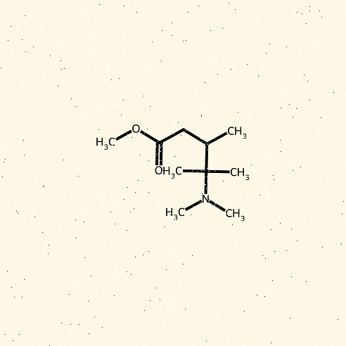 COC(=O)CC(C)C(C)(C)N(C)C